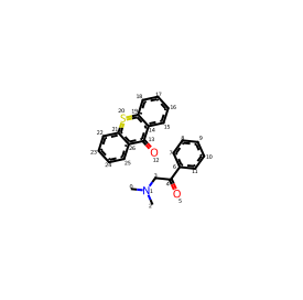 CN(C)CC(=O)c1ccccc1.O=c1c2ccccc2sc2ccccc12